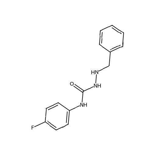 O=C(NNCc1ccccc1)Nc1ccc(F)cc1